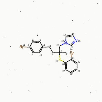 CC(CCc1ccc(Br)cc1)(Cn1ccnc1)Sc1ccccc1Br